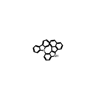 c1cc2c3c(cccc3c1)-c1c-2[nH]c2cccc(-n3c4ccccc4c4ccccc43)c12